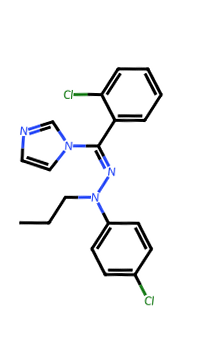 CCCN(N=C(c1ccccc1Cl)n1ccnc1)c1ccc(Cl)cc1